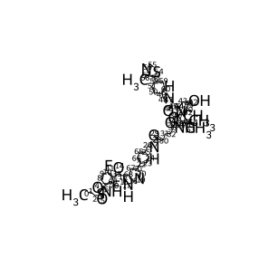 CCCS(=O)(=O)Nc1ccc(F)c(C(=O)c2c[nH]c3ncc(-c4ccc(CNC(=O)CCCC(=O)N[C@H](C(=O)N5C[C@H](O)C[C@H]5C(=O)NCc5ccc(-c6scnc6C)cc5)C(C)(C)C)cc4)cc23)c1F